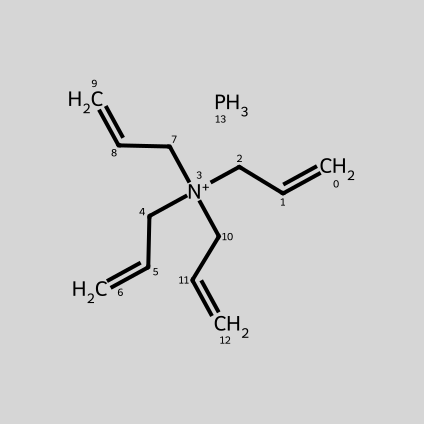 C=CC[N+](CC=C)(CC=C)CC=C.P